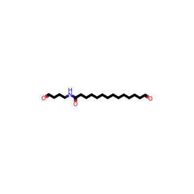 O=CCCCCCCCCCCCCC(=O)NCCCC=O